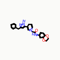 O=C(CN1C=CCC(c2cc(Cc3ccccc3)n[nH]2)=C1)Nc1ccc2c(c1)OCCO2